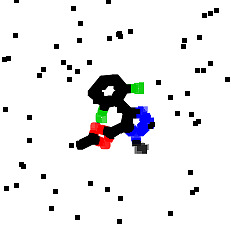 CC1OC(c2c(-c3c(Cl)cccc3Cl)nnn2C(C)C)O1